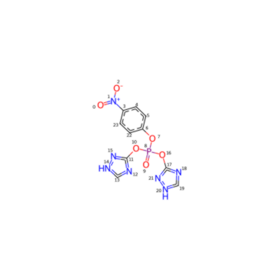 O=[N+]([O-])c1ccc(OP(=O)(Oc2nc[nH]n2)Oc2nc[nH]n2)cc1